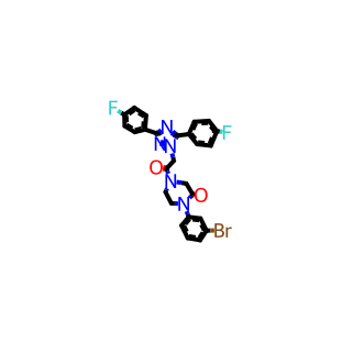 O=C(Cn1nc(-c2ccc(F)cc2)nc1-c1ccc(F)cc1)N1CCN(c2cccc(Br)c2)C(=O)C1